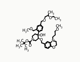 CCOC(C)COCc1ccc([C@@]2(O)CCN(C(=O)OC(C)(C)C)C[C@@H]2OCc2ccc3c(c2)N(CCCOC)CCO3)c(COC)c1